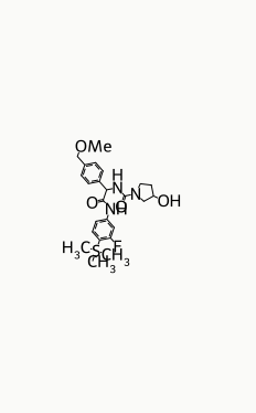 COCc1ccc(C(NC(=O)N2CCC(O)C2)C(=O)Nc2ccc(S(C)(C)C)c(F)c2)cc1